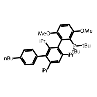 CCCCc1ccc(-c2c(C(C)C)cc(C(C)C)c(-c3c(OC)ccc(OC)c3P(C(C)(C)C)C(C)(C)C)c2C(C)C)cc1